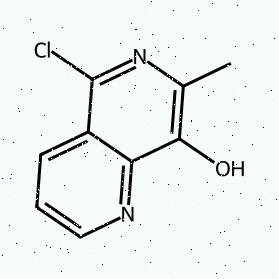 Cc1nc(Cl)c2cccnc2c1O